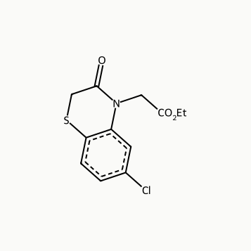 CCOC(=O)CN1C(=O)CSc2ccc(Cl)cc21